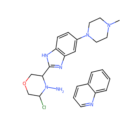 CN1CCN(c2ccc3[nH]c(C4COCC(Cl)N4N)nc3c2)CC1.c1ccc2ncccc2c1